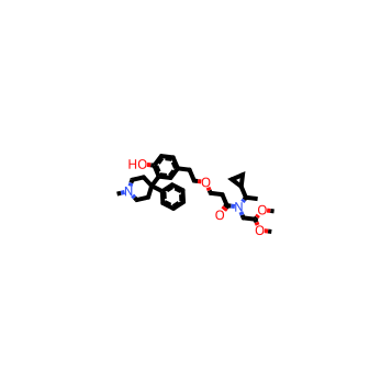 COC(CN(C(=O)CCOCCc1ccc(O)c(C2(c3ccccc3)CCN(C)CC2)c1)C(C)C1CC1)OC